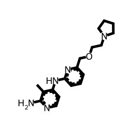 Cc1c(Nc2cccc(COCCN3CCCC3)n2)ccnc1N